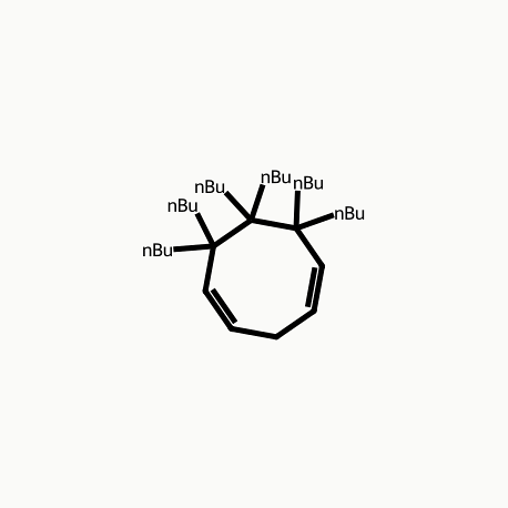 CCCCC1(CCCC)C=CCC=CC(CCCC)(CCCC)C1(CCCC)CCCC